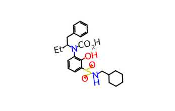 CC[C@@H](Cc1ccccc1)N(C(=O)O)c1cccc(S(=O)(=O)NCC2CCCCC2)c1O